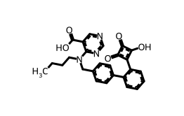 CCCCN(Cc1ccc(-c2ccccc2-c2c(O)c(=O)c2=O)cc1)c1ncncc1C(=O)O